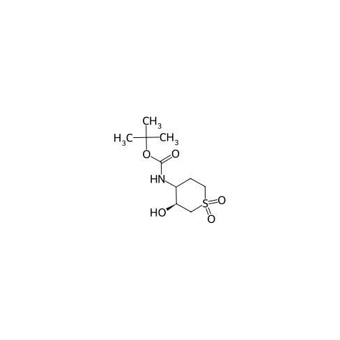 CC(C)(C)OC(=O)NC1CCS(=O)(=O)C[C@H]1O